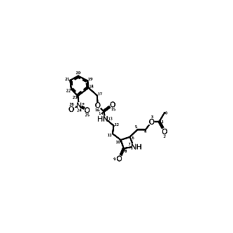 CC(=O)OCCC1NC(=O)C1CCNC(=O)OCc1ccccc1[N+](=O)[O-]